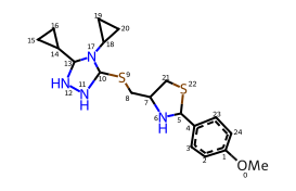 COc1ccc(C2NC(CSC3NNC(C4CC4)N3C3CC3)CS2)cc1